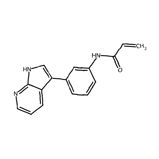 C=CC(=O)Nc1cccc(-c2c[nH]c3ncccc23)c1